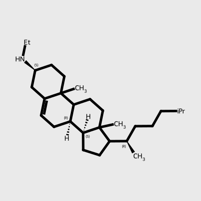 CCN[C@H]1CCC2(C)C(=CC[C@H]3C2CCC2(C)C([C@H](C)CCCC(C)C)CC[C@@H]32)C1